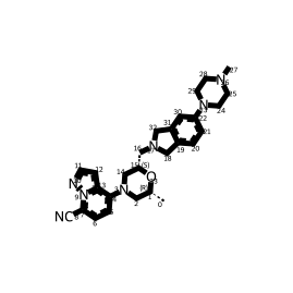 C[C@@H]1CN(c2ccc(C#N)n3nccc23)C[C@H](CN2Cc3ccc(N4CCN(C)CC4)cc3C2)O1